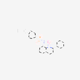 Cc1ccc(S(=O)(=O)Nc2cccc3ccc(-c4ccccc4)[n+]([O-])c23)cc1